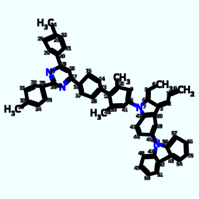 C=C/C=c1\c(=C/C)n(-c2cc(C)c(-c3ccc(-c4cc(-c5ccc(C)cc5)nc(-c5ccc(C)cc5)n4)cc3)c(C)c2)c2ccc(-n3c4ccccc4c4ccccc43)cc12